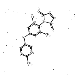 Cc1ccc(Oc2cc(C)c(N3C(=O)C=CC3=O)c(C)c2)cc1